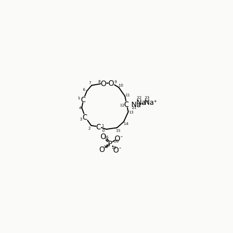 C1CCCCCCCOOCCCCCC1.O=P([O-])([O-])[O-].[Na+].[Na+].[Na+]